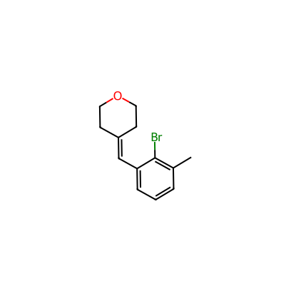 Cc1cccc(C=C2CCOCC2)c1Br